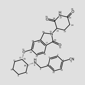 N#Cc1ccc(CN[C@@H]2CCCC[C@@H]2Oc2ccc3c(c2)CN(C2CCC(=O)NC2=O)C3=O)cc1